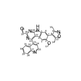 COc1cc2c(cc1-c1c(C)noc1C)[nH]c1nc(C=O)nc(-c3ccnc4ccccc34)c12